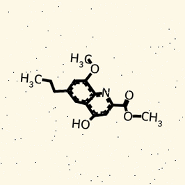 CCCc1cc(OC)c2nc(C(=O)OC)cc(O)c2c1